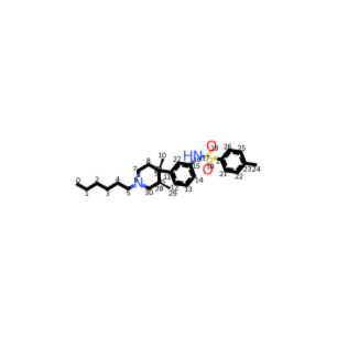 CCCCCCN1CC[C@](C)(c2cccc(NS(=O)(=O)c3ccc(C)cc3)c2)[C@@H](C)C1